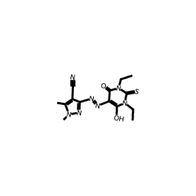 CCn1c(O)c(N=Nc2nn(C)c(C)c2C#N)c(=O)n(CC)c1=S